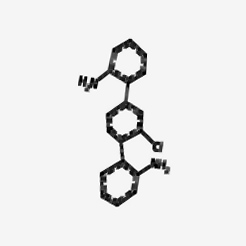 Nc1ccccc1-c1ccc(-c2ccccc2N)c(Cl)c1